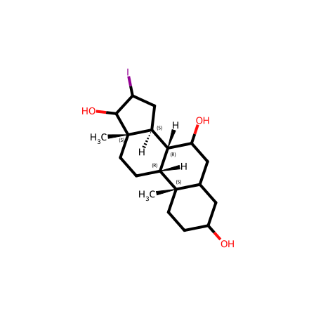 C[C@]12CCC(O)CC1CC(O)[C@@H]1[C@H]2CC[C@]2(C)C(O)C(I)C[C@@H]12